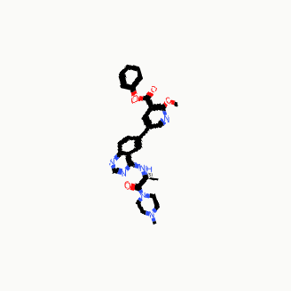 COc1ncc(-c2ccc3ncnc(N[C@@H](C)C(=O)N4CCN(C)CC4)c3c2)cc1C(=O)Oc1ccccc1